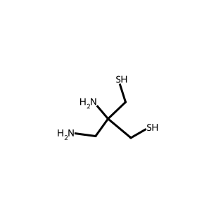 NCC(N)(CS)CS